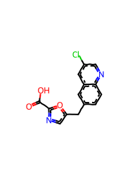 O=C(O)c1ncc(Cc2ccc3ncc(Cl)cc3c2)o1